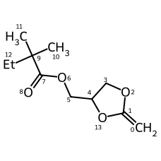 C=C1OCC(COC(=O)C(C)(C)CC)O1